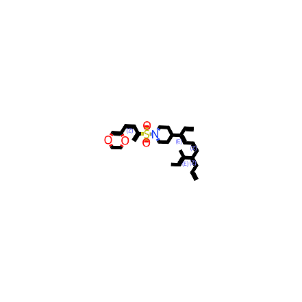 C=C/C=C(/C=C\C=C(/C=C)C1CCN(S(=O)(=O)C(=C)/C=C\C2=COCCO2)CC1)C(\C)=C\C